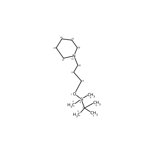 CC(C)(C)[Si](C)(C)OCCCN1CCCCC1